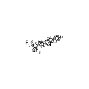 FC(F)(F)c1cc(-c2ccc(-c3cnc4cc(-c5ccc(I)cc5)ccc4c3)cn2)cc(C(F)(F)F)c1